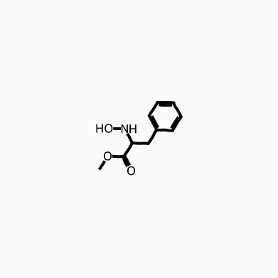 COC(=O)C(Cc1ccccc1)NO